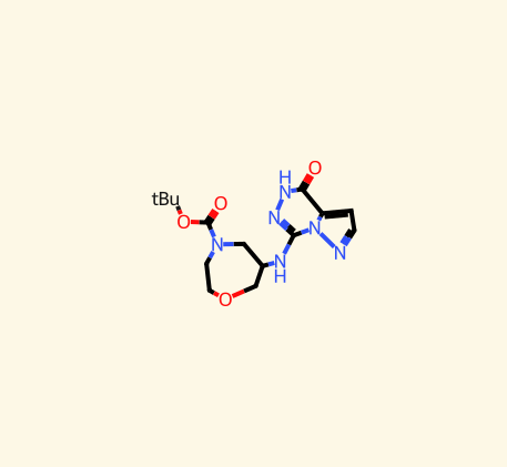 CC(C)(C)OC(=O)N1CCOCC(Nc2n[nH]c(=O)c3ccnn23)C1